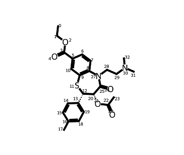 CCOC(=O)c1ccc2c(c1)S[C@@H](c1ccc(C)cc1)[C@@H](OC(C)=O)C(=O)N2CCN(C)C